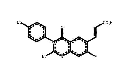 CCc1ccc(-n2c(CC)nc3cc(F)c(C=CC(=O)O)cc3c2=O)cc1